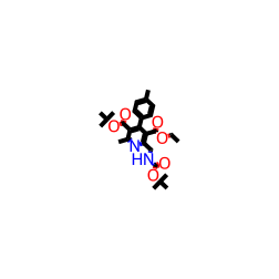 CCOC(=O)c1c(CNC(=O)OC(C)(C)C)nc(C)c(C(=O)OC(C)(C)C)c1-c1ccc(C)cc1